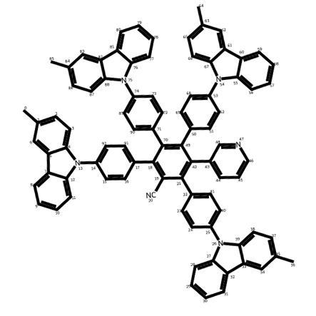 Cc1ccc2c(c1)c1ccccc1n2-c1ccc(-c2c(C#N)c(-c3ccc(-n4c5ccccc5c5cc(C)ccc54)cc3)c(-c3cccnc3)c(-c3ccc(-n4c5ccccc5c5cc(C)ccc54)cc3)c2-c2ccc(-n3c4ccccc4c4cc(C)ccc43)cc2)cc1